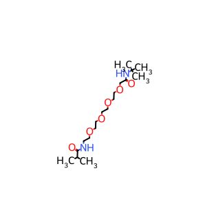 CC(C)C(=O)NCCOCCOCCOCCOCC(=O)NC(C)(C)C